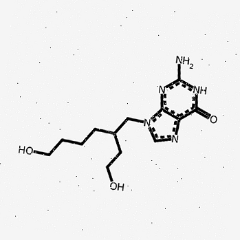 Nc1nc2c(ncn2CC(CCO)CCCCO)c(=O)[nH]1